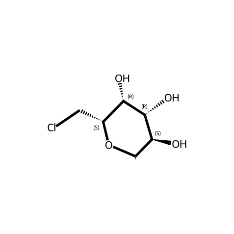 O[C@@H]1[C@H](O)[C@@H](O)[CH]O[C@@H]1CCl